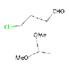 COC(C)OC.O=CCCCCl